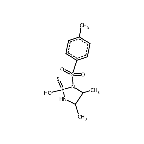 Cc1ccc(S(=O)(=O)N2C(C)C(C)NP2(O)=S)cc1